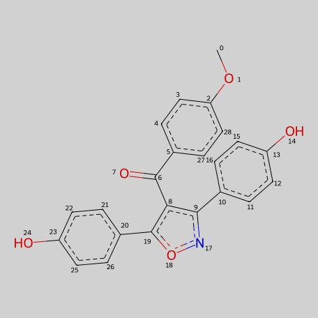 COc1ccc(C(=O)c2c(-c3ccc(O)cc3)noc2-c2ccc(O)cc2)cc1